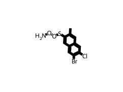 Cc1cc2cc(Cl)c(Br)cc2cc1SOON